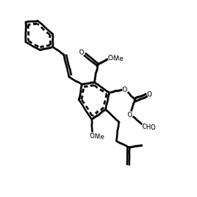 C=C(C)CCc1c(OC)cc(C=Cc2ccccc2)c(C(=O)OC)c1OC(=O)OC=O